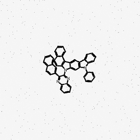 c1ccc(-n2c3ccccc3c3cc4c5c6ccccc6ccc5n(-c5nc6ccccc6nc5-c5ccc6ccccc6c5)c4cc32)cc1